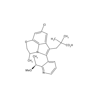 CO[C@@H](C)c1ncccc1-c1c(CC(C)(C)C(=O)O)c2cc(Cl)cc3c2n1C(C)CO3